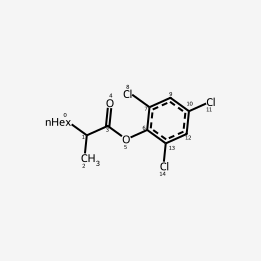 CCCCCCC(C)C(=O)Oc1c(Cl)cc(Cl)cc1Cl